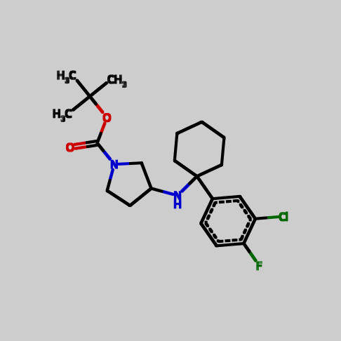 CC(C)(C)OC(=O)N1CCC(NC2(c3ccc(F)c(Cl)c3)CCCCC2)C1